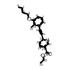 CC=CCOc1cccc(C#Cc2ccc(C(=O)OCC)cn2)c1C